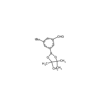 CC(C)(C)c1cc(C=O)cc(B2OC(C)(C)C(C)(C)O2)c1